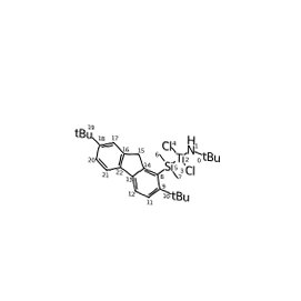 CC(C)(C)[NH][Ti]([Cl])([Cl])[Si](C)(C)c1c(C(C)(C)C)ccc2c1Cc1cc(C(C)(C)C)ccc1-2